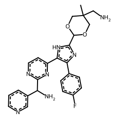 CC1(CN)COC(c2nc(-c3ccc(F)cc3)c(-c3ccnc(C(N)c4cccnc4)n3)[nH]2)OC1